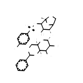 Cc1ccc(S(=O)(=O)OC2C(O)[C@H](O[C@@H]3O[C@H]4COC(c5ccccc5)O[C@H]4C(O)C3O)C3CO[C@@H]2O3)cc1